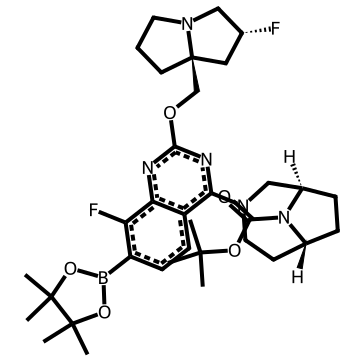 CC(C)(C)OC(=O)N1[C@@H]2CC[C@@H]1CN(c1nc(OC[C@@]34CCCN3C[C@H](F)C4)nc3c(F)c(B4OC(C)(C)C(C)(C)O4)ccc13)CC2